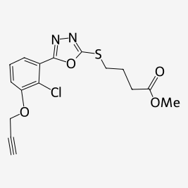 C#CCOc1cccc(-c2nnc(SCCCC(=O)OC)o2)c1Cl